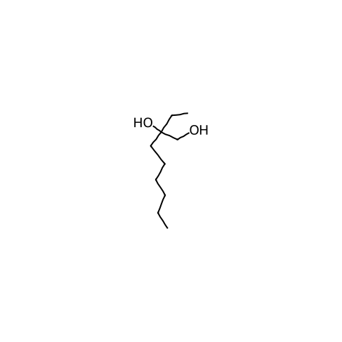 CCCCCCC(O)(CC)CO